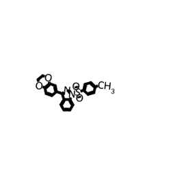 Cc1ccc(S(=O)(=O)n2nc(-c3ccc4c(c3)OCCO4)c3ccccc32)cc1